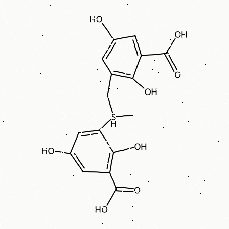 C[SH](Cc1cc(O)cc(C(=O)O)c1O)c1cc(O)cc(C(=O)O)c1O